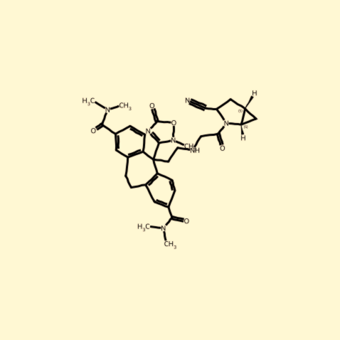 CN(C)C(=O)c1ccc2c(c1)CCc1cc(C(=O)N(C)C)ccc1C2(CCNCC(=O)N1C(C#N)C[C@@H]2C[C@@H]21)c1nc(=O)on1C